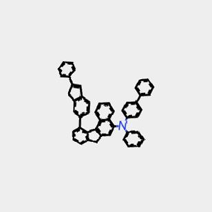 C1=C(c2ccccc2)Cc2cc(-c3cccc4c3-c3c(cc(N(c5ccccc5)c5ccc(-c6ccccc6)cc5)c5ccccc35)C4)ccc21